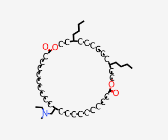 CCCCC1CCCCCCC(CCCC)CCOC(=O)CCCCCCCCCC(CN(C)CC)CCCCCCCCCC(=O)OCC1